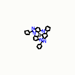 c1ccc(-c2nc3ccc4c5c3n2-c2cccc3c2B5c2c5c(cc6c7ccccc7n-4c26)nc(-c2ccccc2)n5-3)cc1